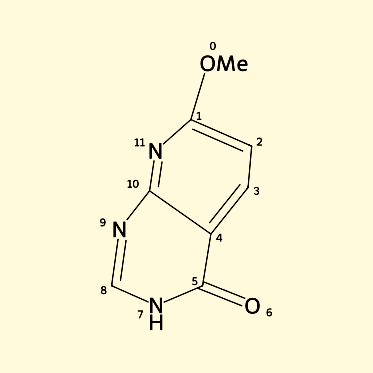 COc1ccc2c(=O)[nH]cnc2n1